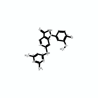 COc1cc(-n2[nH]c(=O)c3cnc(Nc4cc(C)nc(C)n4)cc32)ccc1Cl